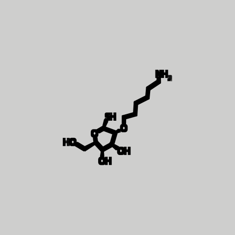 NCCCCCCO[C@@H]1[C@@H](O)[C@@H](O)[C@@H](CO)O[C@H]1S